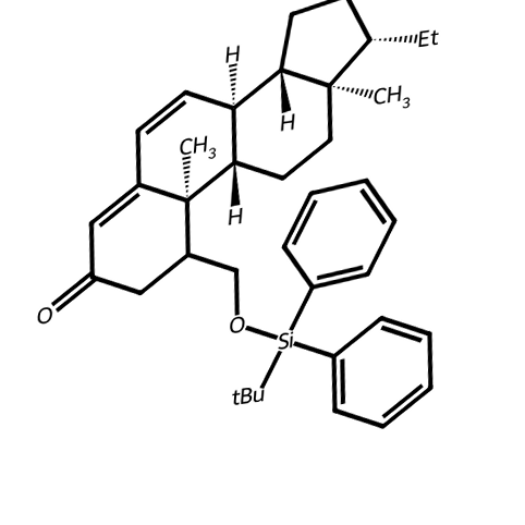 CC[C@H]1CC[C@H]2[C@@H]3C=CC4=CC(=O)CC(CO[Si](c5ccccc5)(c5ccccc5)C(C)(C)C)[C@]4(C)[C@H]3CC[C@]12C